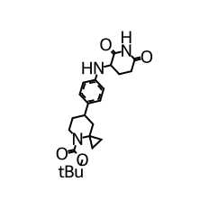 CC(C)(C)OC(=O)N1CCC(c2ccc(NC3CCC(=O)NC3=O)cc2)CC12CC2